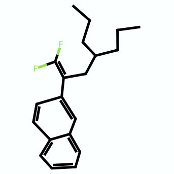 CCCC(CCC)CC(=C(F)F)c1ccc2ccccc2c1